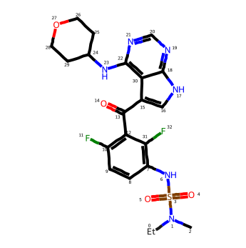 CCN(C)S(=O)(=O)Nc1ccc(F)c(C(=O)c2c[nH]c3ncnc(NC4CCOCC4)c23)c1F